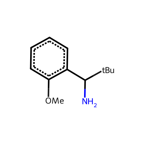 COc1ccccc1C(N)C(C)(C)C